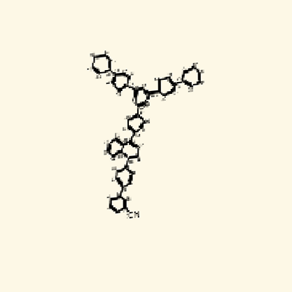 N#Cc1cccc(-c2ccc(-c3ccc(-c4ccc(-c5nc(-c6ccc(-c7ccccc7)cc6)cc(-c6ccc(-c7ccccc7)cc6)n5)cc4)c4ccccc34)cc2)c1